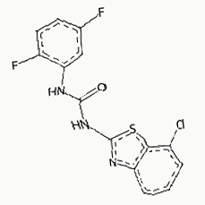 O=C(Nc1nc2cccc(Cl)c2s1)Nc1cc(F)ccc1F